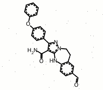 NC(=O)c1c(-c2ccc(Oc3ccccc3)cc2)nn2c1Nc1ccc(C=O)cc1CC2